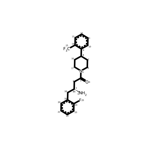 N[C@@H](CC(=O)N1CCC(c2ccccc2C(F)(F)F)CC1)Cc1ccccc1F